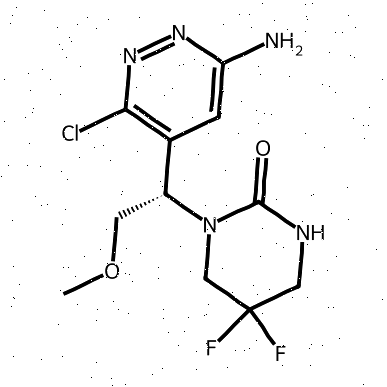 COC[C@H](c1cc(N)nnc1Cl)N1CC(F)(F)CNC1=O